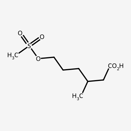 CC(CCCOS(C)(=O)=O)CC(=O)O